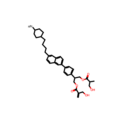 C=C(CO)C(=O)OCC(COC(=O)C(C)CO)c1ccc(-c2ccc3cc(CCCCC4CCC(CCC)CC4)ccc3c2)cc1